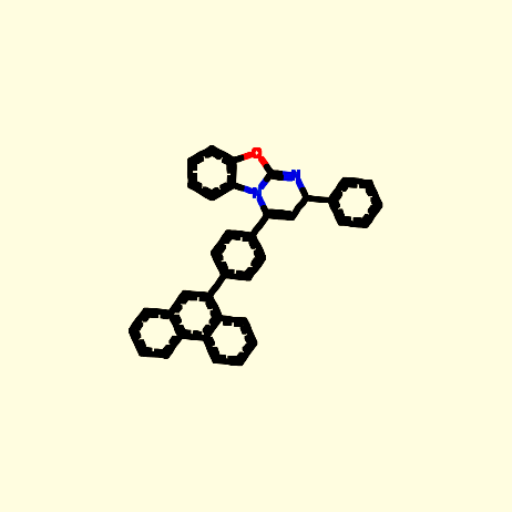 C1=C(c2ccc(-c3cc4ccccc4c4ccccc34)cc2)N2C(=NC1c1ccccc1)Oc1ccccc12